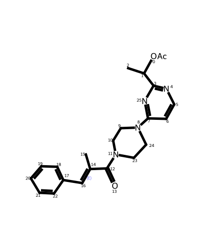 CC(=O)OC(C)c1nccc(N2CCN(C(=O)/C(C)=C/c3ccccc3)CC2)n1